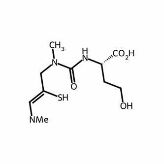 CN/C=C(\S)CN(C)C(=O)N[C@@H](CCO)C(=O)O